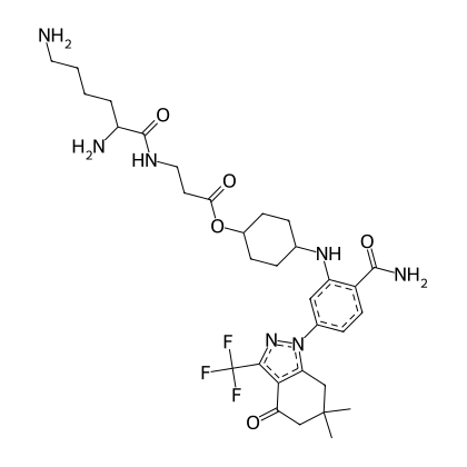 CC1(C)CC(=O)c2c(C(F)(F)F)nn(-c3ccc(C(N)=O)c(NC4CCC(OC(=O)CCNC(=O)C(N)CCCCN)CC4)c3)c2C1